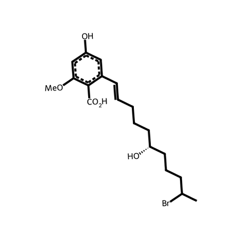 COc1cc(O)cc(/C=C/CCC[C@@H](O)CCCC(C)Br)c1C(=O)O